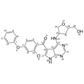 O=C(c1ccc(Oc2ccccc2)cc1Cl)c1c[nH]c2ncnc(NC3COC(CO)C3)c12